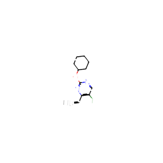 B=Cc1nc(OC2CCCCC2)ncc1F